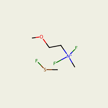 COCC[N+](C)(F)F.CSF